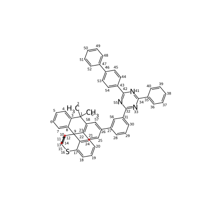 CC1(C)c2ccccc2C2(c3ccccc3Sc3ccccc32)c2ccc(-c3cccc(-c4nc(-c5ccccc5)nc(-c5ccc(-c6ccccc6)cc5)n4)c3)cc21